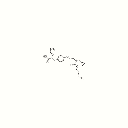 CCCCOC(=O)N(CCOc1ccc(CC(OCC)C(=O)O)cc1)CC1CC1